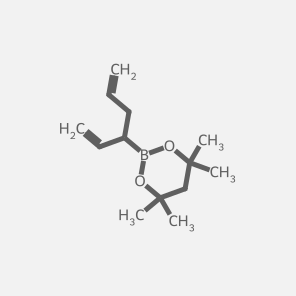 C=CCC(C=C)B1OC(C)(C)CC(C)(C)O1